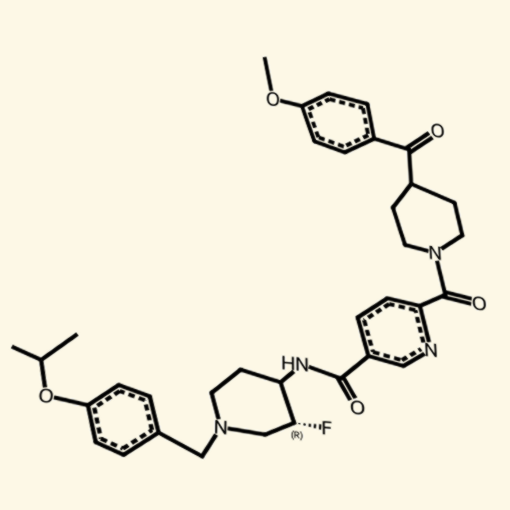 COc1ccc(C(=O)C2CCN(C(=O)c3ccc(C(=O)NC4CCN(Cc5ccc(OC(C)C)cc5)C[C@H]4F)cn3)CC2)cc1